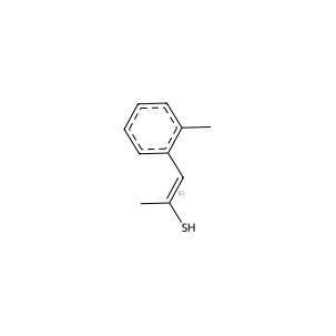 C/C(S)=C\c1ccccc1C